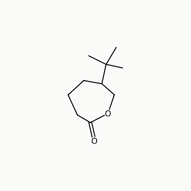 CC(C)(C)C1CCCC(=O)OC1